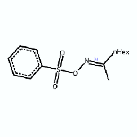 CCCCCC/C(C)=N/OS(=O)(=O)c1ccccc1